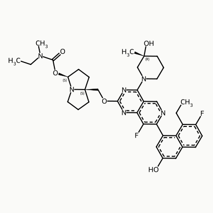 CCc1c(F)ccc2cc(O)cc(-c3ncc4c(N5CCC[C@@](C)(O)C5)nc(OC[C@@]56CCCN5[C@@H](OC(=O)N(C)CC)CC6)nc4c3F)c12